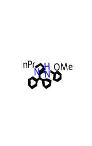 CCCC1CC2CCN1C(C(c1ccccc1)c1ccccc1)C2NCc1ccccc1OC